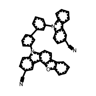 N#Cc1ccc2c(c1)c1ccccc1n2-c1cccc(-c2cccc(-n3c4ccc(C#N)cc4c4c5oc6ccccc6c5ccc43)c2)c1